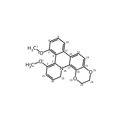 COC1=C2c3c(OC)cccc3-c3ccc4c(c3N2CC=C1)OCCO4